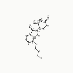 CCCCCc1cccc2c1CN(C1CCC(=O)NC1=O)C2=O